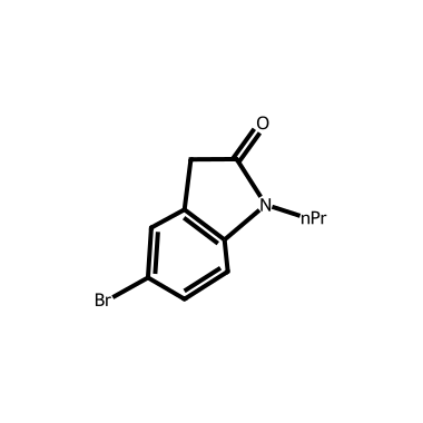 CCCN1C(=O)Cc2cc(Br)ccc21